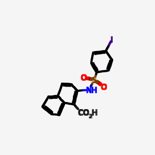 O=C(O)c1c(NS(=O)(=O)c2ccc(I)cc2)ccc2ccccc12